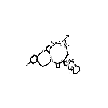 CO[C@]1(CN2CCN3CCCC[C@@H]3C2)/C=C/C[C@H](C)[C@@H](CCO)[SH](C)(=O)NC(=O)C2=CC3C(C=C2)OCc2ccc(Cl)cc2CCCCN3CC2CCC21